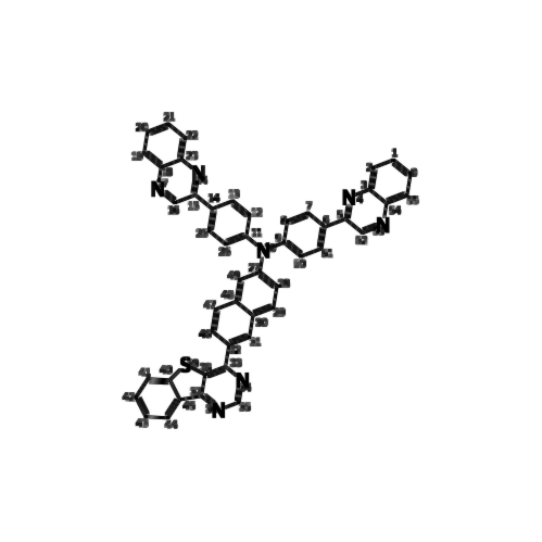 c1ccc2nc(-c3ccc(N(c4ccc(-c5cnc6ccccc6n5)cc4)c4ccc5cc(-c6ncnc7c6sc6ccccc67)ccc5c4)cc3)cnc2c1